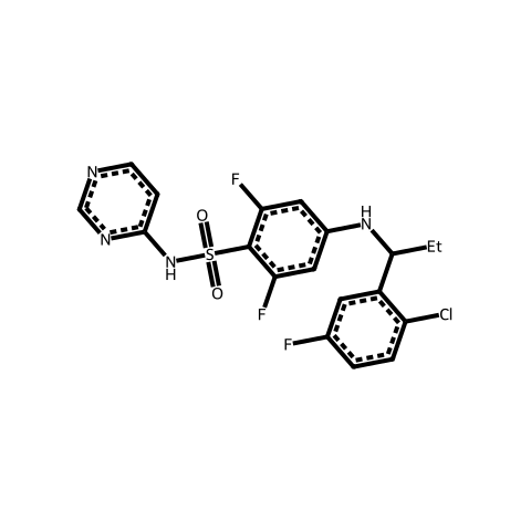 CCC(Nc1cc(F)c(S(=O)(=O)Nc2ccncn2)c(F)c1)c1cc(F)ccc1Cl